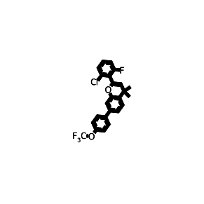 CC1(C)C=C(c2c(F)cccc2Cl)Oc2cc(-c3ccc(OC(F)(F)F)cc3)ccc21